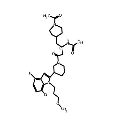 COCCCn1c(C2CCCN(C(=O)C[C@@H](CC3CCN(C(C)=O)CC3)NC(=O)O)C2)cc2c(F)ccc(Cl)c21